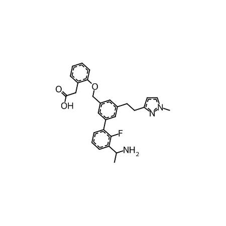 CC(N)c1cccc(-c2cc(CCc3ccn(C)n3)cc(COc3ccccc3CC(=O)O)c2)c1F